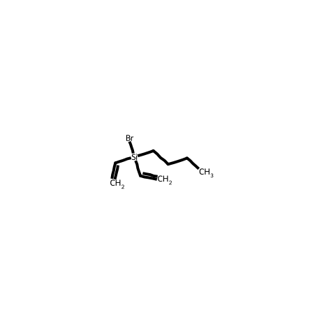 C=C[Si](Br)(C=C)CCCC